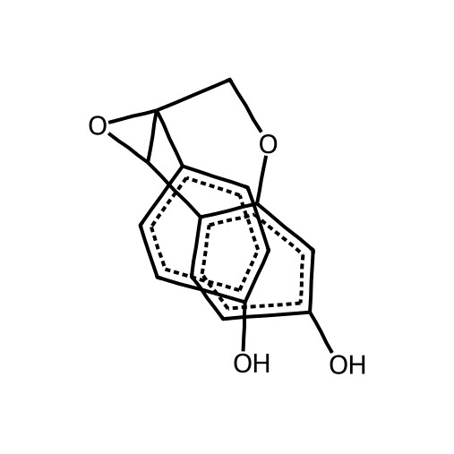 Oc1ccc(C23COc4cc(O)ccc4C2O3)cc1